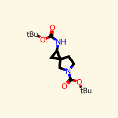 CC(C)(C)OC(=O)NC1CC12CCN(C(=O)OC(C)(C)C)C2